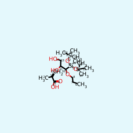 C=C(C)C(=O)O.CCCOC(C(O)CO)[Si](C)(O[Si](C)(C)C)O[Si](C)(C)C